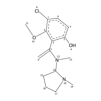 C=C(c1c(O)ccc(Cl)c1OC)N(C)C1CCCN1C